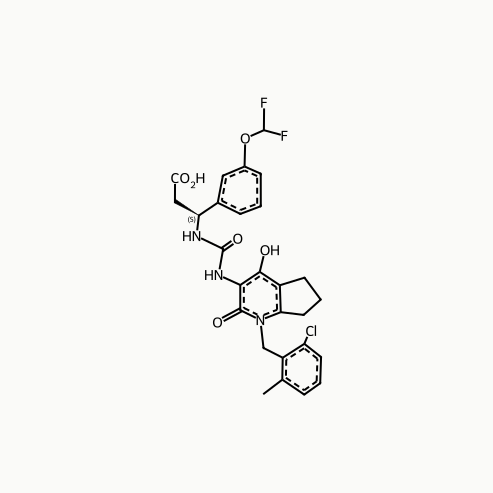 Cc1cccc(Cl)c1Cn1c2c(c(O)c(NC(=O)N[C@@H](CC(=O)O)c3cccc(OC(F)F)c3)c1=O)CCC2